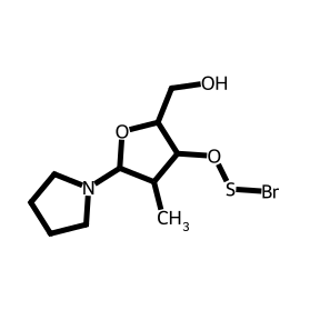 CC1C(OSBr)C(CO)OC1N1CCCC1